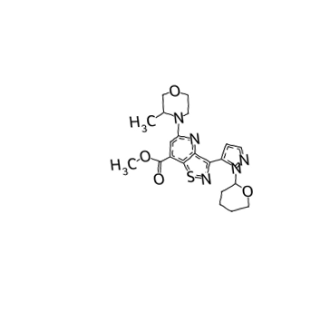 COC(=O)c1cc(N2CCOCC2C)nc2c(-c3ccnn3C3CCCCO3)nsc12